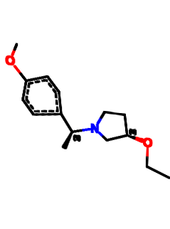 CCO[C@@H]1CCN([C@@H](C)c2ccc(OC)cc2)C1